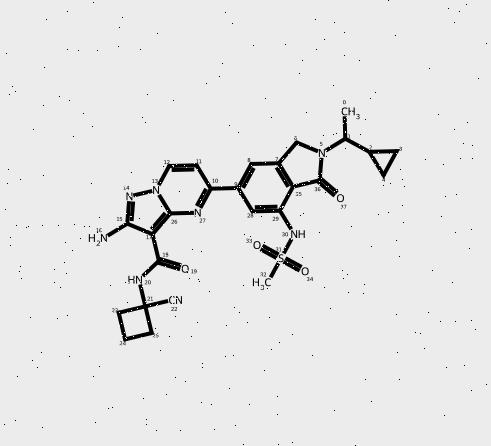 CC(C1CC1)N1Cc2cc(-c3ccn4nc(N)c(C(=O)NC5(C#N)CCC5)c4n3)cc(NS(C)(=O)=O)c2C1=O